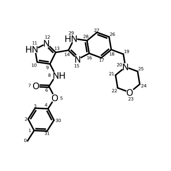 Cc1ccc(OC(=O)Nc2c[nH]nc2-c2nc3cc(CN4CCOCC4)ccc3[nH]2)cc1